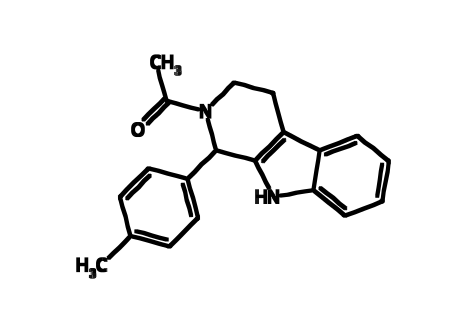 CC(=O)N1CCc2c([nH]c3ccccc23)C1c1ccc(C)cc1